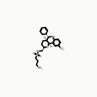 NCCCS(=O)(=O)NC[C@H]1CC[C@@H]2[C@H](O1)c1cc(C(F)(F)F)ccc1N[C@H]2C1C=CC=CC1